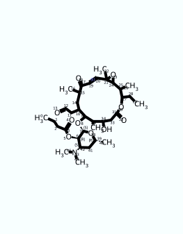 CCCC(=O)O[C@H]1[C@H](OC2C(CC=O)CC(C)C(=O)/C=C/C3(C)OC3C(C)C(CC)OC(=O)CC(O)C2C)O[C@H](C)C[C@@H]1N(C)C